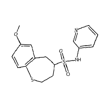 COc1ccc2c(c1)CC(S(=O)(=O)Nc1cccnc1)CCS2